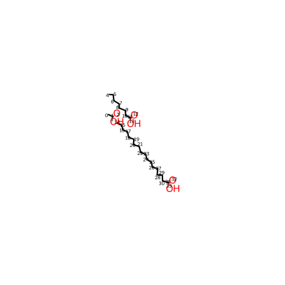 CC(=O)O.CCCCCCCC(=O)O.CCCCCCCCCCCCCCCCCC(=O)O